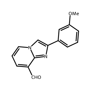 COc1cccc(-c2cn3cccc(C=O)c3n2)c1